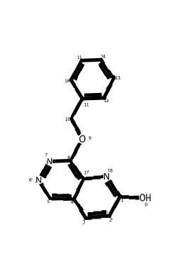 Oc1ccc2cnnc(OCc3ccccc3)c2n1